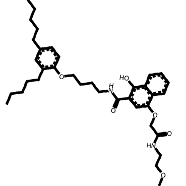 CCCCCc1ccc(OCCCCNC(=O)c2cc(OCC(=O)NCCOC)c3ccccc3c2O)c(CCCCC)c1